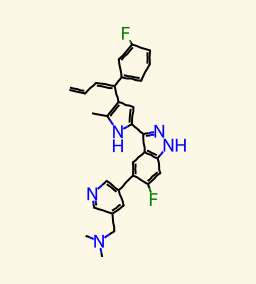 C=C/C=C(/c1cccc(F)c1)c1cc(-c2n[nH]c3cc(F)c(-c4cncc(CN(C)C)c4)cc23)[nH]c1C